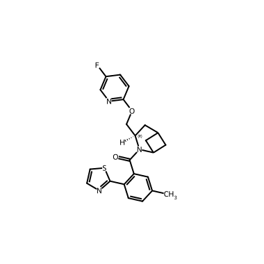 Cc1ccc(-c2nccs2)c(C(=O)N2C3CC(C3)C[C@@H]2COc2ccc(F)cn2)c1